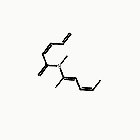 C=C/C=C\C(=C)N(C)/C(C)=C/C=C\C